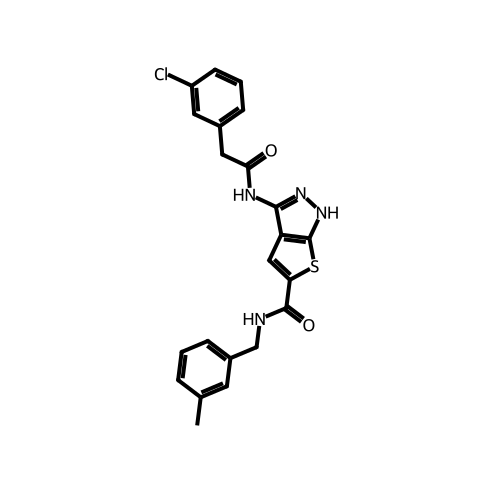 Cc1cccc(CNC(=O)c2cc3c(NC(=O)Cc4cccc(Cl)c4)n[nH]c3s2)c1